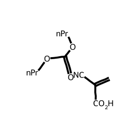 C=C(C#N)C(=O)O.CCCOC(=O)OCCC